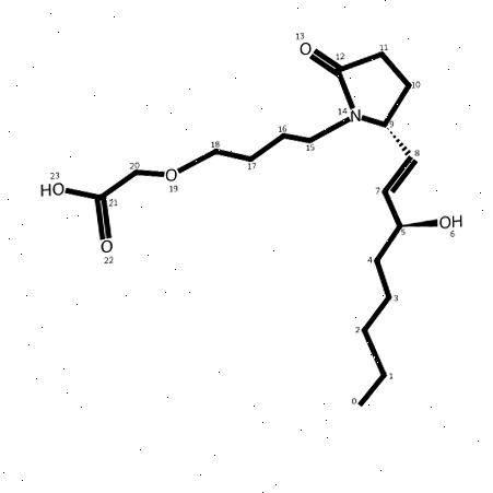 CCCCC[C@H](O)/C=C/[C@H]1CCC(=O)N1CCCCOCC(=O)O